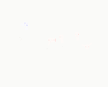 COC(=O)CC(=O)CC(O)(CCc1nccs1)C(C)C